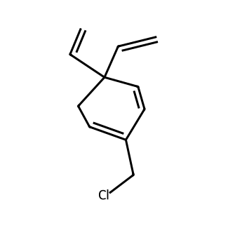 C=CC1(C=C)C=CC(CCl)=CC1